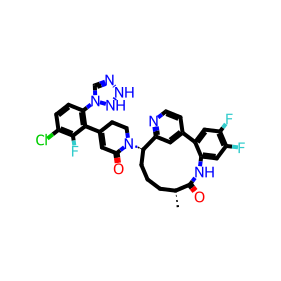 C[C@@H]1CCC[C@H](N2CCC(c3c(N4C=NNN4)ccc(Cl)c3F)=CC2=O)c2cc(ccn2)-c2cc(F)c(F)cc2NC1=O